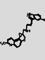 Cc1ccc2c3c(ccc2n1)OCC(CNCCc1c[nH]c2ccc(F)cc12)O3